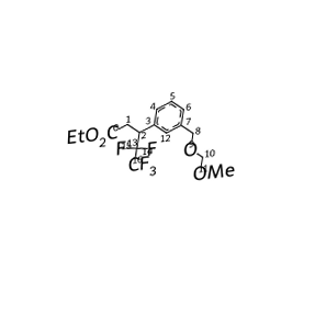 CCOC(=O)CC(c1cccc(COCOC)c1)C(F)(F)C(F)(F)F